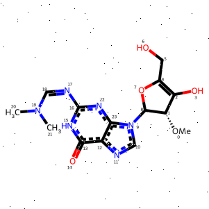 CO[C@H]1C(O)=C(CO)OC1n1cnc2c(=O)[nH]c(/N=C\N(C)C)nc21